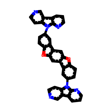 c1cnc2c(c1)c1cnccc1n2-c1ccc2oc3cc4c(cc3c2c1)oc1ccc(-n2c3ccncc3c3cccnc32)cc14